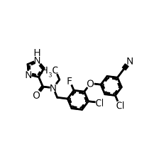 CCN(Cc1ccc(Cl)c(Oc2cc(Cl)cc(C#N)c2)c1F)C(=O)c1c[nH]cn1